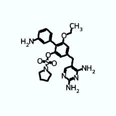 CCOc1cc(Cc2cnc(N)nc2N)cc(OS(=O)(=O)N2CCCC2)c1-c1cccc(N)c1